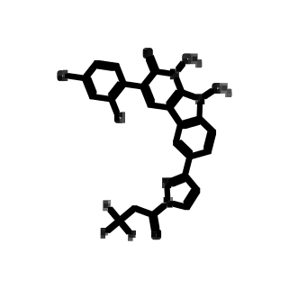 Cn1c(=O)c(-c2ccc(Cl)cc2Cl)cc2c3cc(-c4ccn(C(=O)CC(F)(F)F)n4)ccc3n(C)c21